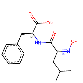 CC(C)C/C(=N/O)C(=O)N[C@@H](Cc1ccccc1)C(=O)O